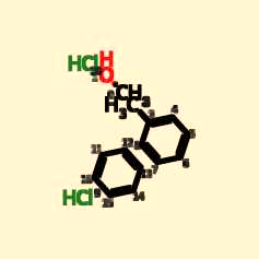 CO.Cc1ccccc1.Cl.Cl.c1ccccc1